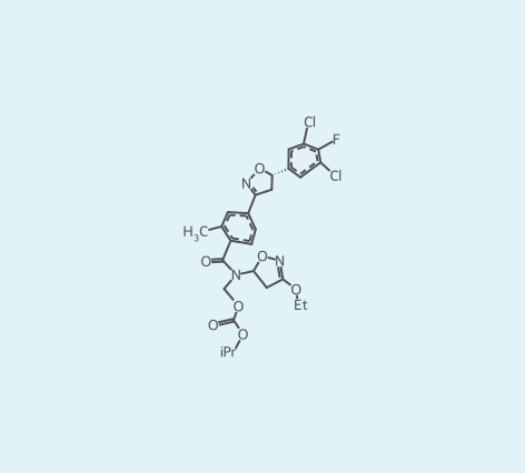 CCOC1=NOC(N(COC(=O)OC(C)C)C(=O)c2ccc(C3=NO[C@H](c4cc(Cl)c(F)c(Cl)c4)C3)cc2C)C1